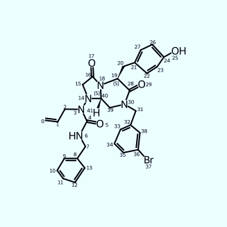 C=CCN(C(=O)NCc1ccccc1)N1CC(=O)N2[C@@H](Cc3ccc(O)cc3)C(=O)N(Cc3cccc(Br)c3)C[C@@H]21